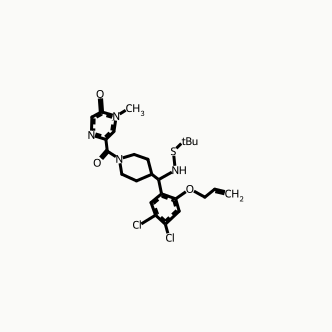 C=CCOc1cc(Cl)c(Cl)cc1C(NSC(C)(C)C)C1CCN(C(=O)c2cn(C)c(=O)cn2)CC1